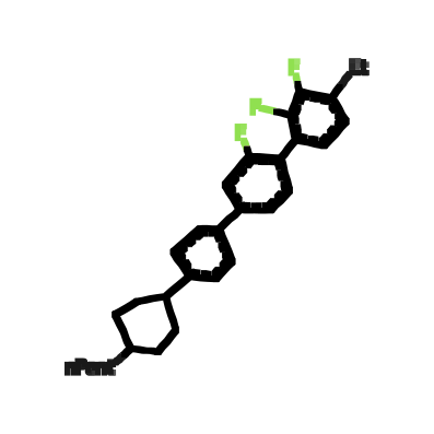 CCCCCC1CCC(c2ccc(-c3ccc(-c4ccc(CC)c(F)c4F)c(F)c3)cc2)CC1